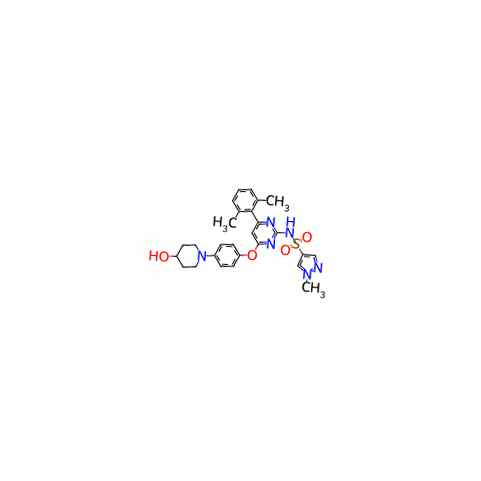 Cc1cccc(C)c1-c1cc(Oc2ccc(N3CCC(O)CC3)cc2)nc(NS(=O)(=O)c2cnn(C)c2)n1